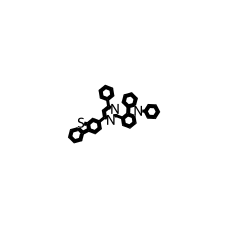 c1ccc(-c2cc(-c3ccc4c(c3)sc3ccccc34)nc(-c3cccc4c3c3ccccc3n4-c3ccccc3)n2)cc1